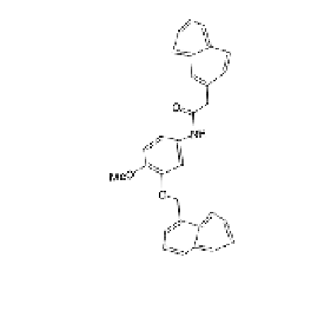 COc1ccc(NC(=O)Cc2ccc3ccccc3c2)cc1OCc1cccc2ccccc12